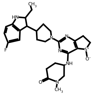 CCC1Nc2ccc(F)cc2C1C1CCN(c2nc3c(c(N[C@H]4CCC(=O)N(C)C4)n2)[S+]([O-])CC3)CC1